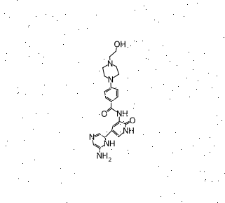 NC1=CN=CC(c2c[nH]c(=O)c(NC(=O)c3ccc(N4CCN(CCO)CC4)cc3)c2)N1